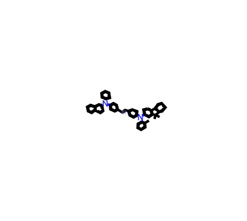 Cc1ccccc1N(c1ccc(/C=C/c2ccc(N(c3ccccc3)c3ccc4ccccc4c3)cc2)cc1)c1ccc2c(c1)C(C)(C)c1ccccc1-2